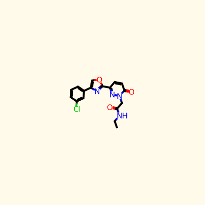 CCNC(=O)Cn1nc(-c2nc(-c3cccc(Cl)c3)co2)ccc1=O